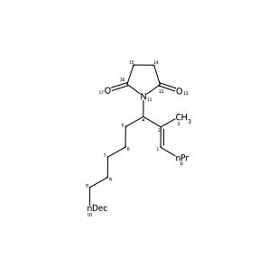 CCC/C=C(\C)C(CCCCCCCCCCCCCCC)N1C(=O)CCC1=O